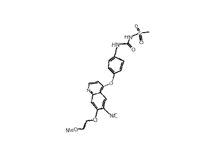 [C-]#[N+]c1cc2c(Oc3ccc(NC(=O)NS(C)(=O)=O)cc3)ccnc2cc1OCCOC